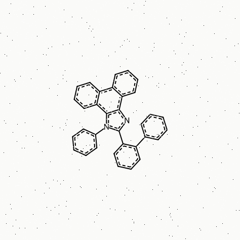 c1ccc(-c2ccccc2-c2nc3c4ccccc4c4ccccc4c3n2-c2ccccc2)cc1